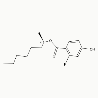 CCCCCC[C@@H](C)OC(=O)c1ccc(O)cc1F